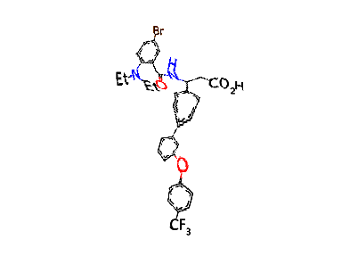 CCN(CC)c1ccc(Br)cc1C(=O)NC(CC(=O)O)c1ccc(-c2cccc(Oc3ccc(C(F)(F)F)cc3)c2)cc1